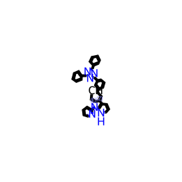 C#C/C=c1\c(=C/Cc2cccc(-c3nc(-c4ccccc4)nc(-c4ccccc4)n3)c2)c2c(n1-c1ccccn1)NCC=C2